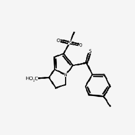 Cc1ccc(C(=S)c2c(S(C)(=O)=O)cc3n2CCC3C(=O)O)cc1